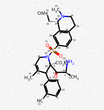 CCOC(=O)[C@]1(C(=O)[C@H](C)N)C(c2cccc(C#N)c2)C(C)=CCN1S(=O)(=O)c1ccc2c(c1)[C@H](COC)N(C)CC2